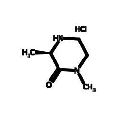 C[C@H]1NCCN(C)C1=O.Cl